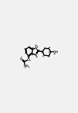 NC(=O)Oc1cccc2[nH]c(C3CCC(O)CC3)nc12